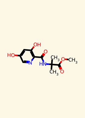 COC(=O)C(C)(C)NC(=O)c1ncc(O)cc1O